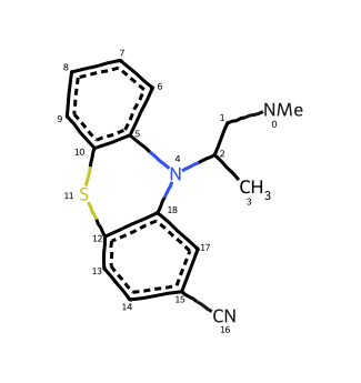 CNCC(C)N1c2ccccc2Sc2ccc(C#N)cc21